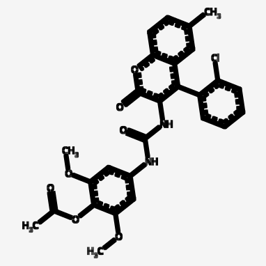 COc1cc(NC(=O)Nc2c(-c3ccccc3Cl)c3cc(C)ccc3oc2=O)cc(OC)c1OC(C)=O